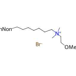 CCCCCCCCCCCCCCCC[N+](C)(C)CCOC.[Br-]